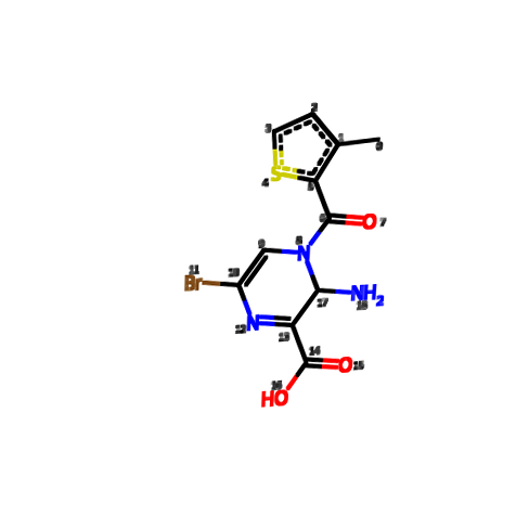 Cc1ccsc1C(=O)N1C=C(Br)N=C(C(=O)O)C1N